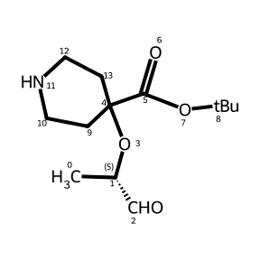 C[C@@H](C=O)OC1(C(=O)OC(C)(C)C)CCNCC1